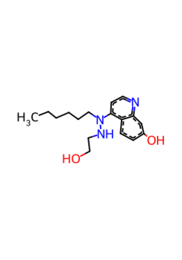 CCCCCCN(NCCO)c1ccnc2cc(O)ccc12